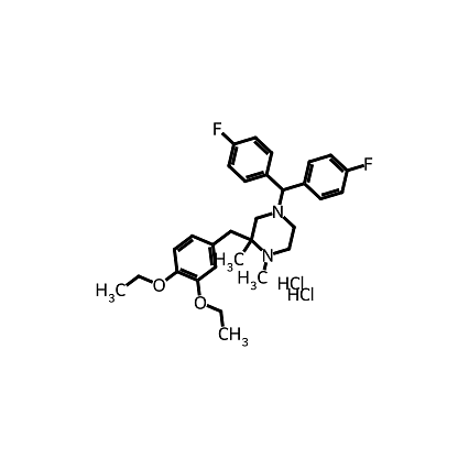 CCOc1ccc(CC2(C)CN(C(c3ccc(F)cc3)c3ccc(F)cc3)CCN2C)cc1OCC.Cl.Cl